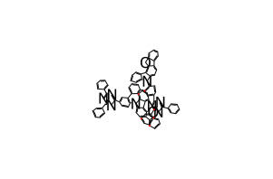 c1ccc(-c2nc(-c3ccccc3)nc(-c3ccc(-n4c5ccccc5c5c6oc7ccccc7c6ccc54)c(-c4cccc(-c5cc(-c6nc(-c7ccccc7)nc(-c7ccccc7)n6)ccc5-n5c6ccccc6c6c7oc8ccccc8c7ccc65)c4)c3)n2)cc1